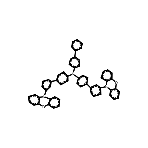 c1ccc(-c2ccc(N(c3ccc(-c4cccc(N5c6ccccc6Oc6ccccc65)c4)cc3)c3ccc(-c4cccc(N5c6ccccc6Oc6ccccc65)c4)cc3)cc2)cc1